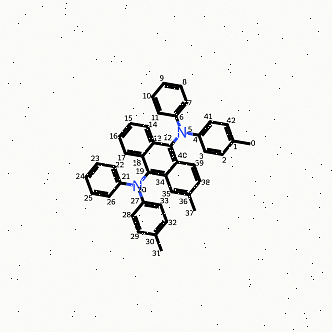 Cc1ccc(N(c2ccccc2)c2c3ccccc3c(N(c3ccccc3)c3ccc(C)cc3)c3cc(C)ccc23)cc1